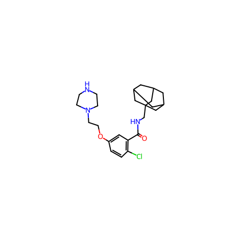 O=C(NCC12CC3CC(CC(C3)C1)C2)c1cc(OCCN2CCNCC2)ccc1Cl